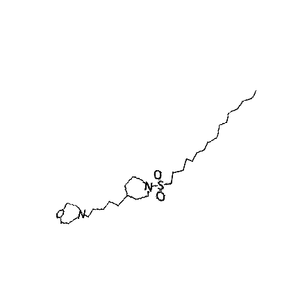 CCCCCCCCCCCCCCCCS(=O)(=O)N1CCCC(CCCCCN2CCOCC2)CC1